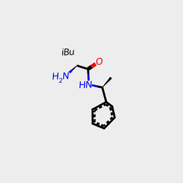 CC[C@H](C)[C@H](N)C(=O)N[C@@H](C)c1ccccc1